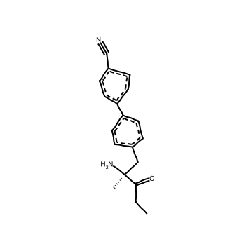 CCC(=O)[C@@](C)(N)Cc1ccc(-c2ccc(C#N)cc2)cc1